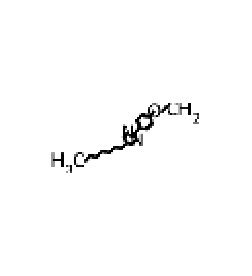 C=CCOc1ccc(-c2ncc(CCCCCCCC)cn2)cc1